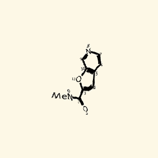 CNC(=O)c1cc2ccncc2o1